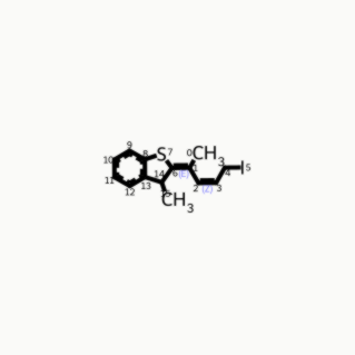 CC(/C=C\CI)=C1\Sc2ccccc2C1C